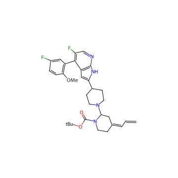 C=C/C=C1/CCN(C(=O)OC(C)(C)C)C(N2CCC(c3cc4c(-c5cc(F)ccc5OC)c(F)cnc4[nH]3)CC2)C1